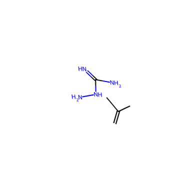 C=C(C)C.N=C(N)NN